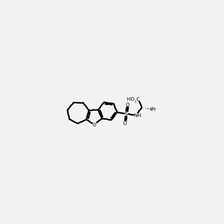 CC(C)[C@H](NS(=O)(=O)c1ccc2c3c(oc2c1)CCCCC3)C(=O)O